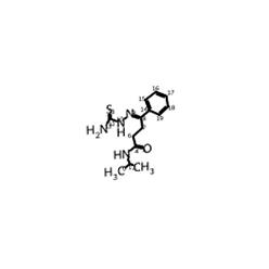 CC(C)NC(=O)CC/C(=N\NC(N)=S)c1ccccc1